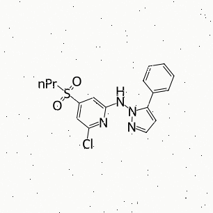 CCCS(=O)(=O)c1cc(Cl)nc(Nn2nccc2-c2ccccc2)c1